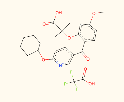 COc1ccc(C(=O)c2ccc(OC3CCCCC3)nc2)c(OC(C)(C)C(=O)O)c1.O=C(O)C(F)(F)F